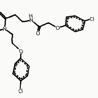 C=C(CCNC(=O)COc1ccc(Cl)cc1)N(C)CCOc1ccc(Cl)cc1